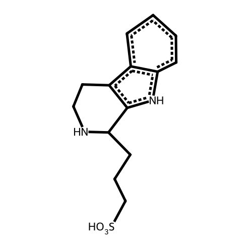 O=S(=O)(O)CCCC1NCCc2c1[nH]c1ccccc21